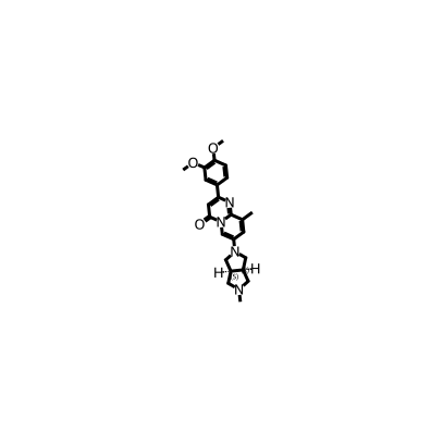 COc1ccc(-c2cc(=O)n3cc(N4C[C@H]5CN(C)C[C@H]5C4)cc(C)c3n2)cc1OC